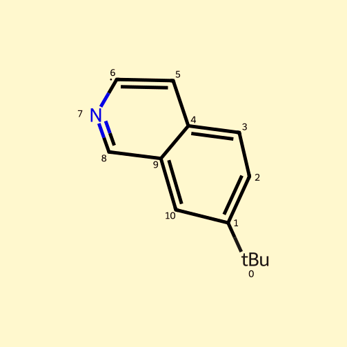 CC(C)(C)c1ccc2c[c]ncc2c1